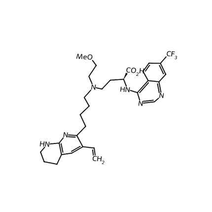 C=Cc1cc2c(nc1CCCCN(CCOC)CC[C@H](Nc1ncnc3cc(C(F)(F)F)ccc13)C(=O)O)NCCC2